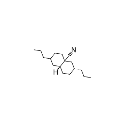 CCCC1CCC2(C#N)C[C@H](CCC)CC[C@@H]2C1